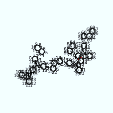 c1cc(-c2cccc3ccccc23)cc(N(c2ccc(-c3cccc4c3ccc3ccc(-c5ccc(-n6c7ccccc7c7cc(-c8ccccc8N(c8ccc(-c9cccc%10c9ccc9ccccc9%10)cc8)c8cccc(-c9cccc%10ccccc9%10)c8)ccc76)cc5)cc34)cc2)c2ccc(-n3c4ccccc4c4ccccc43)cc2)c1